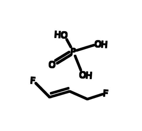 FC=CCF.O=P(O)(O)O